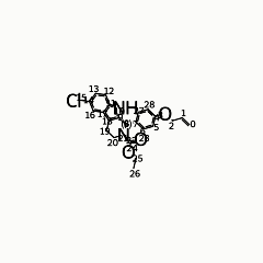 C=CCOc1ccc([C@H]2c3[nH]c4ccc(Cl)cc4c3CCN2C(=O)OCC)cc1